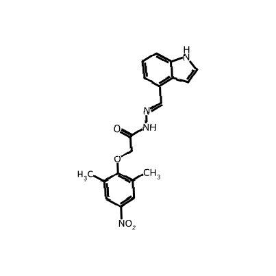 Cc1cc([N+](=O)[O-])cc(C)c1OCC(=O)NN=Cc1cccc2[nH]ccc12